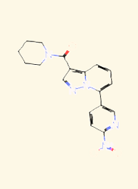 O=C(c1cnn2c(-c3ccc([N+](=O)[O-])nc3)cccc12)N1CCCCC1